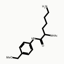 COCc1ccc(NC(=O)C(CCCCN)NC(C)=O)cc1